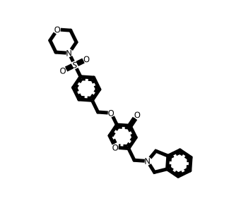 O=c1cc(CN2Cc3ccccc3C2)occ1OCc1ccc(S(=O)(=O)N2CCOCC2)cc1